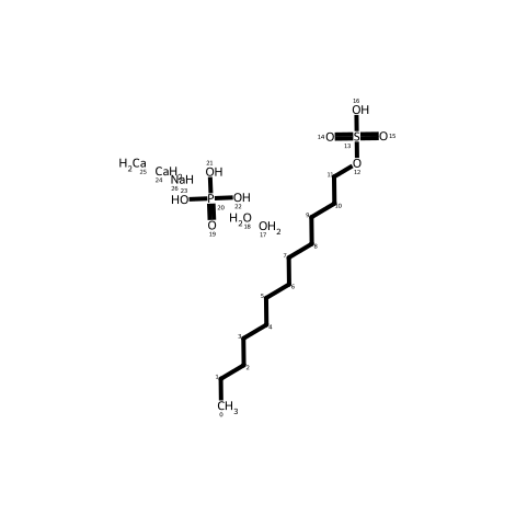 CCCCCCCCCCCCOS(=O)(=O)O.O.O.O=P(O)(O)O.[CaH2].[CaH2].[NaH]